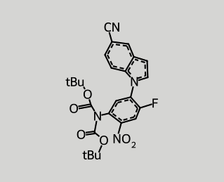 CC(C)(C)OC(=O)N(C(=O)OC(C)(C)C)c1cc(-n2ccc3cc(C#N)ccc32)c(F)cc1[N+](=O)[O-]